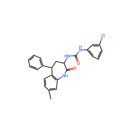 Cc1ccc2c(c1)NC(=O)C(NC(=O)Nc1cccc(Cl)c1)CC2c1ccccc1